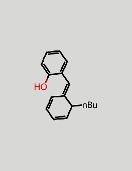 CCCCC1C=CC=CC1=Cc1ccccc1O